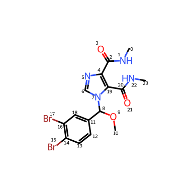 CNC(=O)c1ncn(C(OC)c2ccc(Br)c(Br)c2)c1C(=O)NC